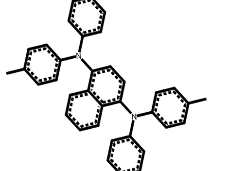 Cc1ccc(N(c2ccccc2)c2ccc(N(c3ccccc3)c3ccc(C)cc3)c3ccccc23)cc1